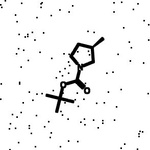 C[C@@H]1CCN(C(=O)OC(C)(C)C)C1